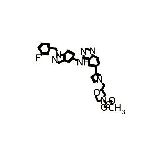 CS(=O)(=O)N1CCOC(Cn2ccc(-c3ccc4ncnc(Nc5ccc6c(cnn6Cc6cccc(F)c6)c5)c4c3)c2)C1